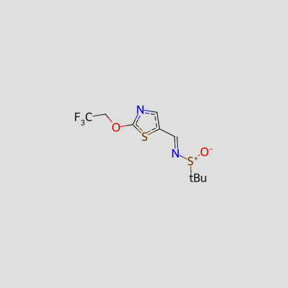 CC(C)(C)[S+]([O-])/N=C/c1cnc(OCC(F)(F)F)s1